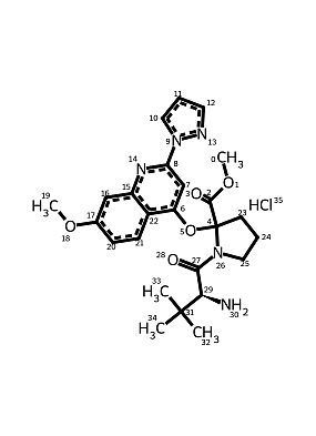 COC(=O)C1(Oc2cc(-n3cccn3)nc3cc(OC)ccc23)CCCN1C(=O)[C@@H](N)C(C)(C)C.Cl